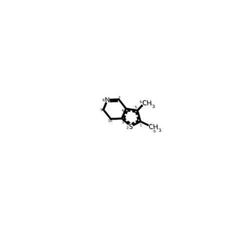 Cc1sc2c(c1C)C=NCC2